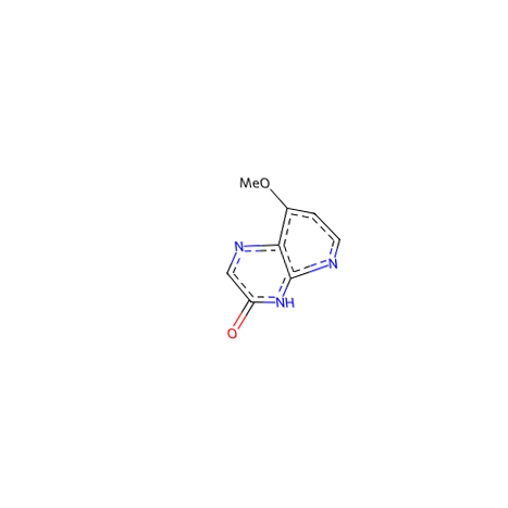 COc1ccnc2[nH]c(=O)cnc12